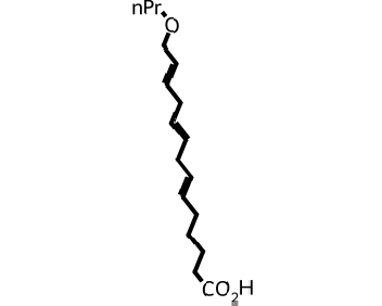 CCCOC/C=C/C/C=C/C/C=C/CCCCC(=O)O